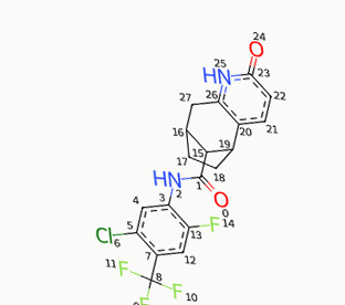 O=C(Nc1cc(Cl)c(C(F)(F)F)cc1F)C1C2CCC1c1ccc(=O)[nH]c1C2